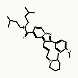 COc1ccc(-c2nn3ccc(C(=O)N(CCC(C)C)CCC(C)C)cc3c2/C=C/CN2CCCCC2C)cc1